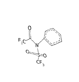 O=C(N(c1ccccc1)S(=O)(=O)C(F)(F)F)C(F)(F)F